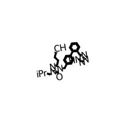 C#CCCc1nn(CC(C)C)c(=O)n1Cc1ccc(-c2ccccc2-c2nnn[nH]2)cc1